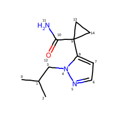 CC(C)Cn1nccc1C1(C(N)=O)CC1